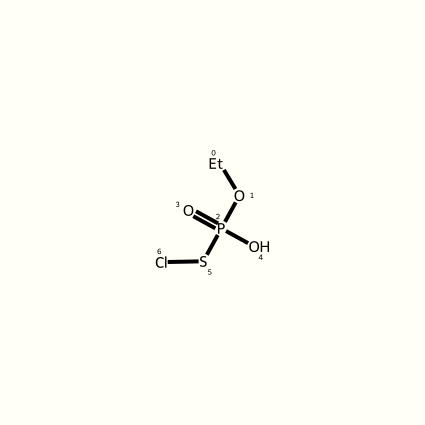 CCOP(=O)(O)SCl